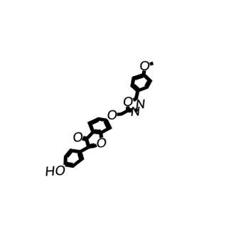 COc1ccc(-c2nnc(COc3ccc4c(=O)c(-c5ccc(O)cc5)coc4c3)o2)cc1